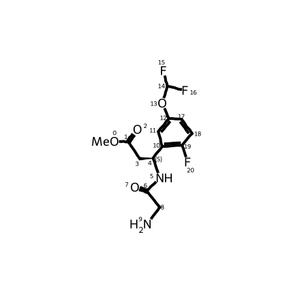 COC(=O)C[C@H](NC(=O)CN)c1cc(OC(F)F)ccc1F